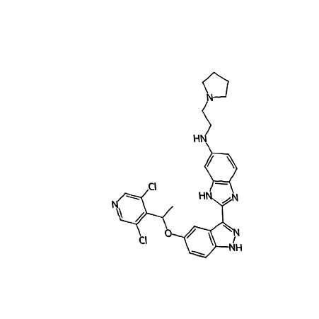 CC(Oc1ccc2[nH]nc(-c3nc4ccc(NCCN5CCCC5)cc4[nH]3)c2c1)c1c(Cl)cncc1Cl